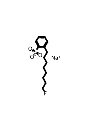 O=S(=O)([O-])c1ccccc1CCCCCCCCF.[Na+]